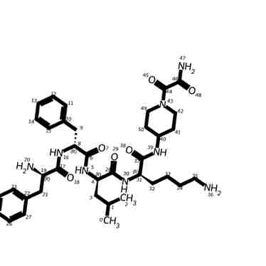 CC(C)C[C@@H](NC(=O)[C@@H](Cc1ccccc1)NC(=O)[C@H](N)Cc1ccccc1)C(=O)N[C@H](CCCCN)C(=O)NC1CCN(C(=O)C(N)=O)CC1